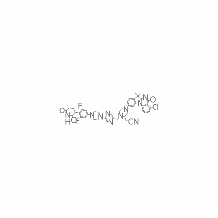 CC1(C)c2ccc(N3CCN(Cc4cnc(N5CCN(c6cc(F)c(C7CCC(=O)NC7=O)c(F)c6)CC5)cn4)[C@H](CC#N)C3)cc2-n2c1nc(=O)c1c(Cl)cccc12